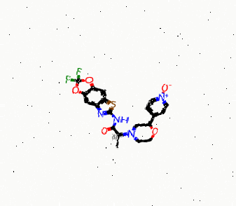 C[C@@H](C(=O)Nc1nc2cc3c(cc2s1)OC(F)(F)O3)N1CCOC(c2cc[n+]([O-])cc2)C1